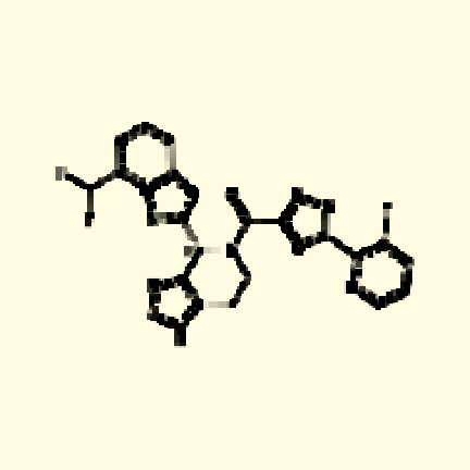 O=C(c1nnc(-c2ncccc2F)o1)N1CCc2[nH]cnc2[C@@H]1c1cc2cccc(C(F)F)n2n1